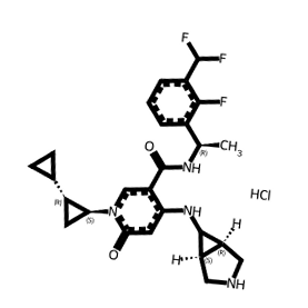 C[C@@H](NC(=O)c1cn([C@H]2C[C@@H]2C2CC2)c(=O)cc1NC1[C@H]2CNC[C@@H]12)c1cccc(C(F)F)c1F.Cl